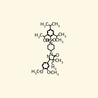 COc1ccc(C2=NN(C3CCN(S(=O)(=O)c4c(C(C)C)cc(C(C)C)cc4C(C)C)CC3)C(=O)C2(C)C)cc1OC